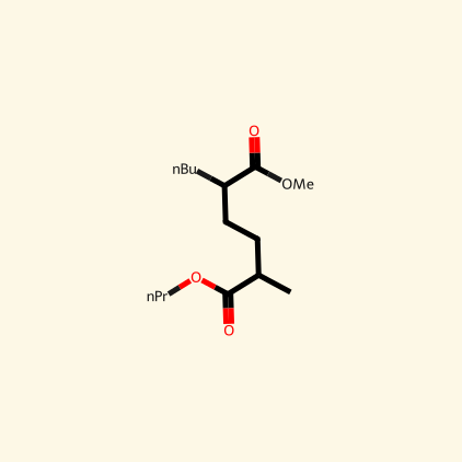 [CH2]CCCC(CCC(C)C(=O)OCCC)C(=O)OC